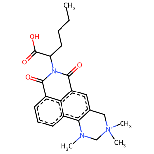 CCCCC(C(=O)O)N1C(=O)c2cccc3c4c(cc(c23)C1=O)C[N+](C)(C)CN4C